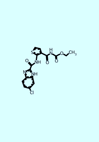 CCOC(=O)NC(=O)c1ccsc1NC(=O)c1nc2ccc(Cl)cc2[nH]1